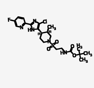 C[C@H]1CN(S(=O)(=O)CCNC(=O)OC(C)(C)C)CC[C@H]1c1[nH]c(-c2ccc(F)cn2)nc1Cl